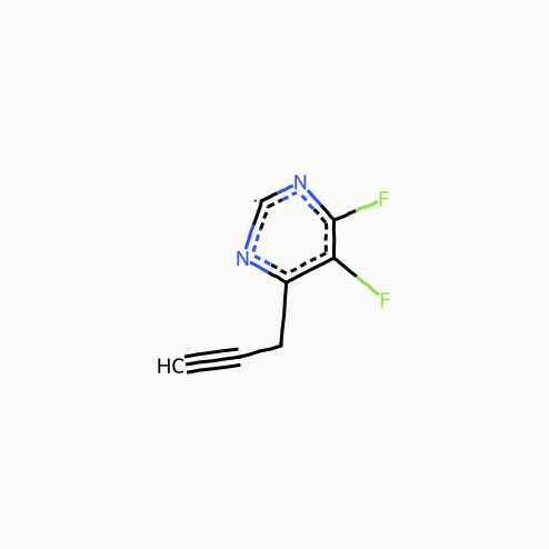 C#CCc1n[c]nc(F)c1F